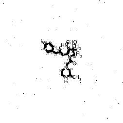 C/C(=C\C1=C(NC=O)C(C)(C)CN1C(=O)CN1CCNC(C)C1)Cc1ccc(F)cc1